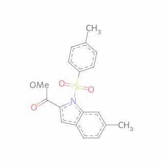 COC(=O)c1cc2ccc(C)cc2n1S(=O)(=O)c1ccc(C)cc1